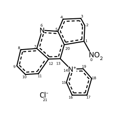 O=[N+]([O-])c1cccc2nc3ccccc3c(-[n+]3ccccc3)c12.[Cl-]